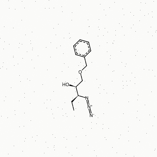 CC[C@H](N=[N+]=[N-])[C@@H](O)COCc1ccccc1